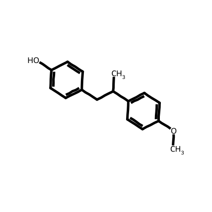 COc1ccc(C(C)Cc2ccc(O)cc2)cc1